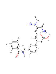 C=C(N)/C(=C\C=C(/C)C(CC(=O)OC)c1ccc2c(c1)CN(C(=O)c1c(C)c(C)cc(C)c1C)CC2)N(N)CC